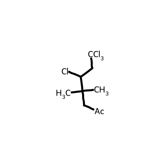 CC(=O)CC(C)(C)C(Cl)CC(Cl)(Cl)Cl